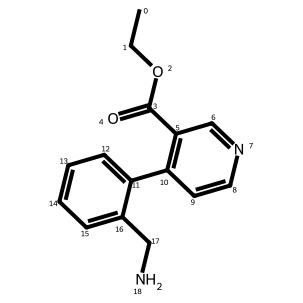 CCOC(=O)c1cnccc1-c1ccccc1CN